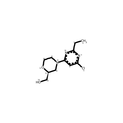 CCc1nc(Cl)cc(N2CCO[C@H](CO)C2)n1